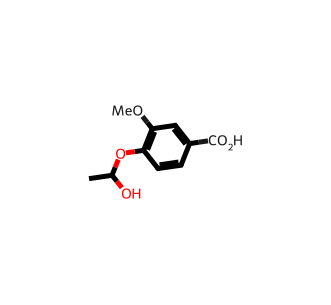 COc1cc(C(=O)O)ccc1OC(C)O